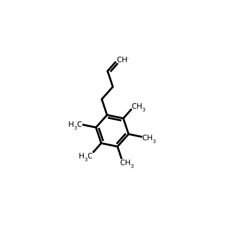 [CH]=CCCc1c(C)c(C)c(C)c(C)c1C